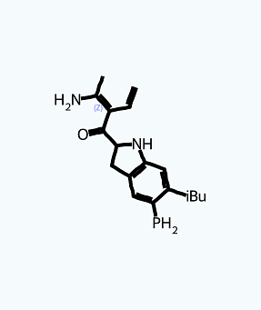 C=C/C(C(=O)C1Cc2cc(P)c(C(C)CC)cc2N1)=C(\C)N